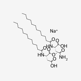 CCCCCCCCCCCC(=O)N[C@@H](CC(=O)O)C(=O)[O-].CCCCCCCCCCCC(=O)N[C@@H](CC(N)=O)C(=O)O.[Na+]